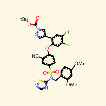 COc1ccc(CN(c2ncns2)S(=O)(=O)c2ccc(Oc3cc(F)c(Cl)cc3-c3cnn(C(=O)OC(C)(C)C)c3)c(C#N)c2)c(OC)c1